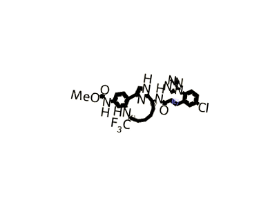 COC(=O)Nc1ccc2c(c1)N[C@H](C(F)(F)F)CCCC[C@H](NC(=O)/C=C/c1cc(Cl)ccc1-n1cnnn1)c1nc-2c[nH]1